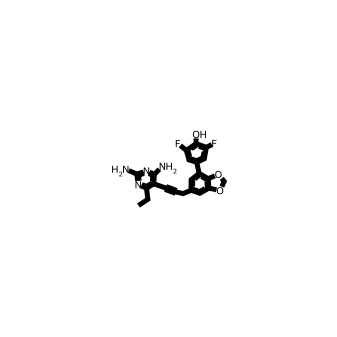 CCc1nc(N)nc(N)c1C#CCc1cc2c(c(-c3cc(F)c(O)c(F)c3)c1)OCO2